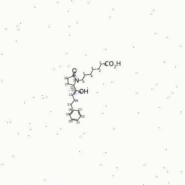 O=C(O)CCCCCCN1C(=O)CCC1/C(O)=C/CCc1ccccc1